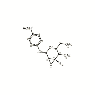 CC(=O)Nc1ccc(O[C@H]2OC(COC(C)=O)C(OC(C)=O)[C@@H]3OC23)cc1